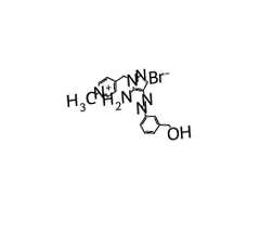 C[n+]1ccc(Cn2ncc(N=Nc3cccc(CO)c3)c2N)cc1.[Br-]